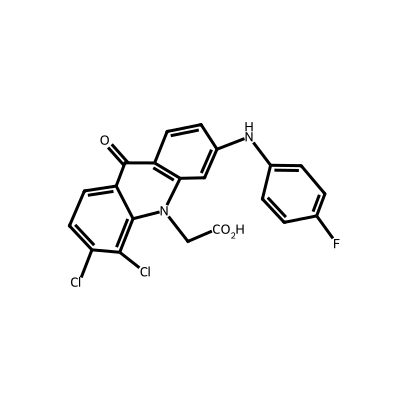 O=C(O)Cn1c2cc(Nc3ccc(F)cc3)ccc2c(=O)c2ccc(Cl)c(Cl)c21